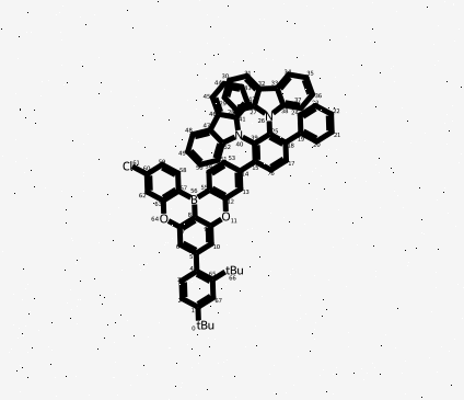 CC(C)(C)c1ccc(-c2cc3c4c(c2)Oc2cc(-c5ccc(-c6ccccc6)c(-n6c7ccccc7c7ccccc76)c5-n5c6ccccc6c6ccccc65)ccc2B4c2ccc(Cl)cc2O3)c(C(C)(C)C)c1